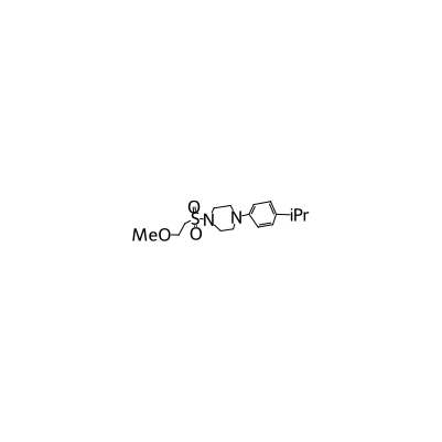 COCCS(=O)(=O)N1CCN(c2ccc(C(C)C)cc2)CC1